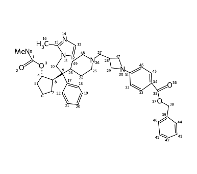 CNC(=O)O[C@H]1CCC[C@@H]1C(Cn1ccnc1C)(c1ccccc1)C1CCN(CC2CN(c3ccc(C(=O)OCc4ccccc4)cc3)C2)CC1